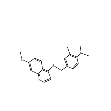 CSc1ccc2c(SCc3ccc(N(C)C)c(C)c3)ccnc2c1